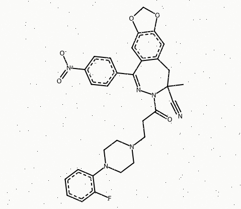 CC1(C#N)Cc2cc3c(cc2C(c2ccc([N+](=O)[O-])cc2)=NN1C(=O)CCN1CCN(c2ccccc2F)CC1)OCO3